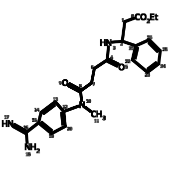 CCOC(=O)CC(NC(=O)CCC(=O)N(C)c1ccc(C(=N)N)cc1)c1ccccc1